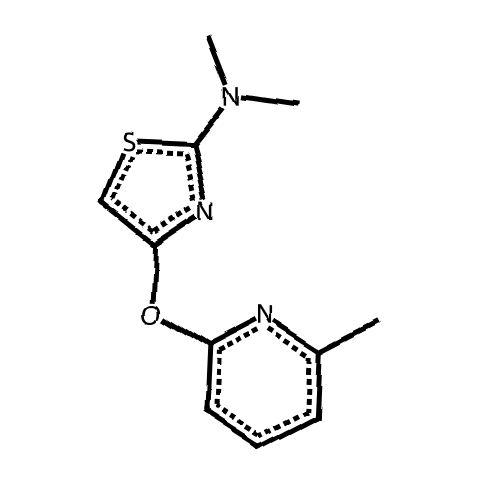 Cc1cccc(Oc2csc(N(C)C)n2)n1